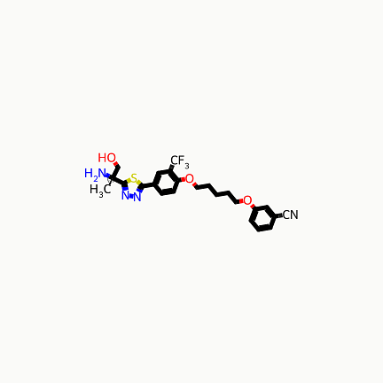 C[C@](N)(CO)c1nnc(-c2ccc(OCCCCCOc3cccc(C#N)c3)c(C(F)(F)F)c2)s1